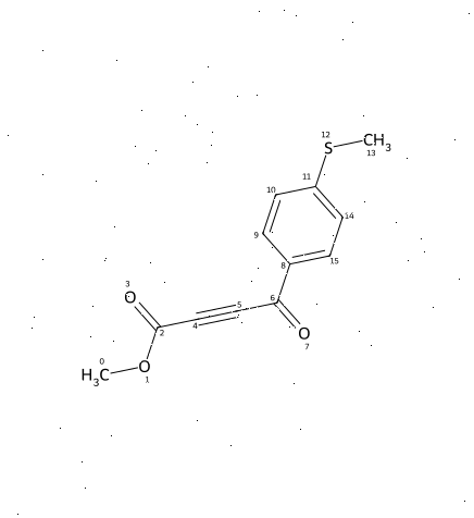 COC(=O)C#CC(=O)c1ccc(SC)cc1